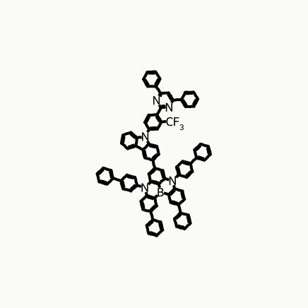 FC(F)(F)c1cc(-n2c3ccccc3c3cc(-c4cc5c6c(c4)N(c4ccc(-c7ccccc7)cc4)c4ccc(-c7ccccc7)cc4B6c4cc(-c6ccccc6)ccc4N5c4ccc(-c5ccccc5)cc4)ccc32)ccc1-c1nc(-c2ccccc2)cc(-c2ccccc2)n1